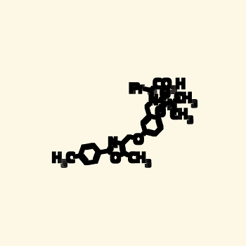 Cc1ccc(-c2nc(COc3cccc(CN([C@H](C(=O)O)C(C)C)S(=O)(=O)N(C)C)c3)c(C)o2)cc1